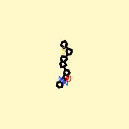 c1ccc2nc3c(nc2c1)oc1ccc(-c2ccc4ccc(-c5cccc6c5sc5ccccc56)cc4c2)cc13